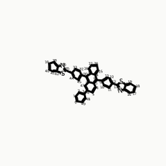 c1ccc(-c2ccc3c(-c4ccc(-c5nc6ccccc6s5)cc4)c4ccccc4c(-c4ccc(-c5nc6ccccc6s5)cc4)c3c2)cc1